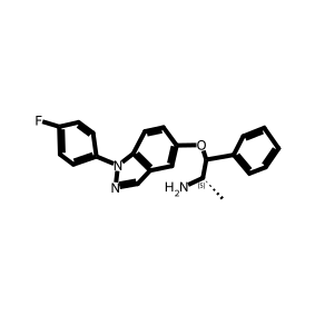 C[C@H](N)C(Oc1ccc2c(cnn2-c2ccc(F)cc2)c1)c1ccccc1